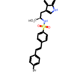 CC(C)c1ccc(C=Cc2ccc(S(=O)(=O)N[C@H](Cc3c[nH]c4ccccc34)C(=O)O)cc2)cc1